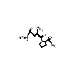 CCCCC(CC(=O)NO)C(=O)N1CCCC1C(N)=O